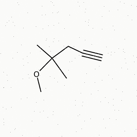 C#CCC(C)(C)OC